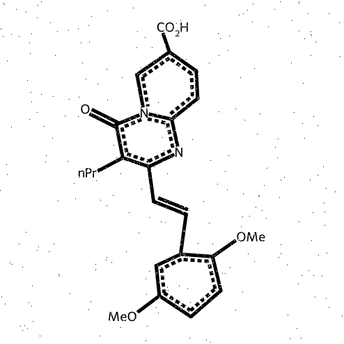 CCCc1c(C=Cc2cc(OC)ccc2OC)nc2ccc(C(=O)O)cn2c1=O